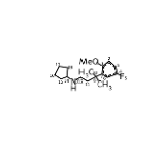 COc1ccc(F)cc1C(C)(C)CCNC1CCCC1